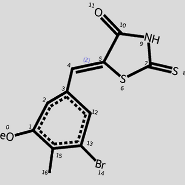 COc1cc(/C=C2\SC(=S)NC2=O)cc(Br)c1C